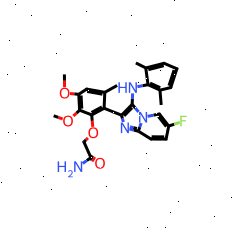 COc1cc(C)c(-c2nc3ccc(F)cn3c2Nc2c(C)cccc2C)c(OCC(N)=O)c1OC